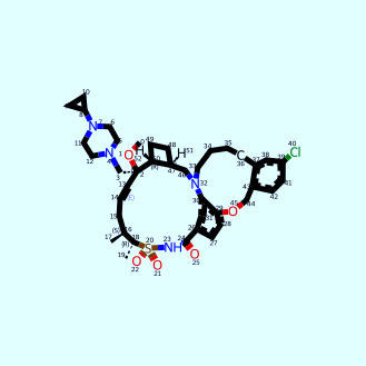 CO[C@]1(CN2CCN(C3CC3)CC2)/C=C/C[C@H](C)[C@@H](C)S(=O)(=O)NC(=O)c2ccc3c(c2)N(CCCCc2cc(Cl)ccc2CO3)C[C@@H]2CC[C@H]21